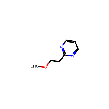 O=COCCc1ncccn1